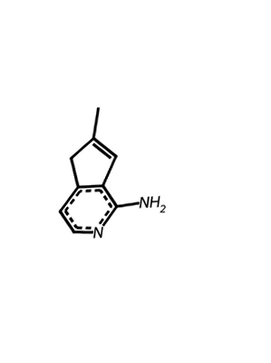 CC1=Cc2c(ccnc2N)C1